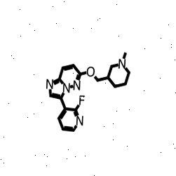 CN1CCCC(COc2ccc3ncc(-c4cccnc4F)n3n2)C1